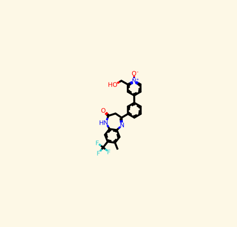 Cc1cc2c(cc1C(F)(F)F)NC(=O)CC(c1cccc(-c3cc[n+]([O-])c(CO)c3)c1)=N2